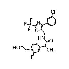 CC(C(=O)NCc1oc(C(F)(F)F)nc1-c1cccc(Cl)c1)c1ccc(CCO)c(F)c1